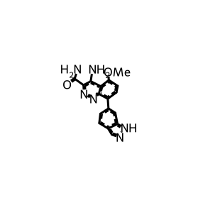 COc1ccc(-c2ccc3cn[nH]c3c2)c2nnc(C(N)=O)c(N)c12